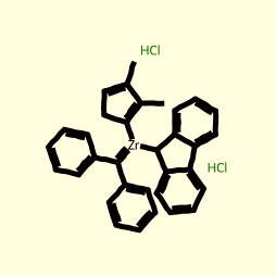 CC1=CC[C]([Zr](=[C](c2ccccc2)c2ccccc2)[CH]2c3ccccc3-c3ccccc32)=C1C.Cl.Cl